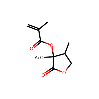 C=C(C)C(=O)OC1(OC(C)=O)C(=O)OCC1C